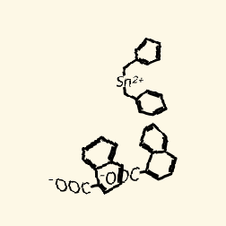 O=C([O-])c1cccc2ccccc12.O=C([O-])c1cccc2ccccc12.c1ccc([CH2][Sn+2][CH2]c2ccccc2)cc1